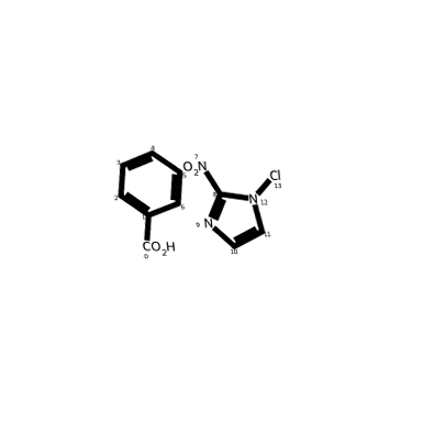 O=C(O)c1ccccc1.O=[N+]([O-])c1nccn1Cl